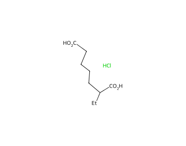 CCC(CCCCC(=O)O)C(=O)O.Cl